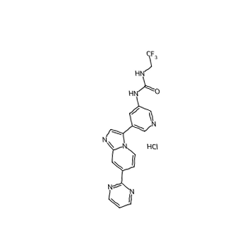 Cl.O=C(NCC(F)(F)F)Nc1cncc(-c2cnc3cc(-c4ncccn4)ccn23)c1